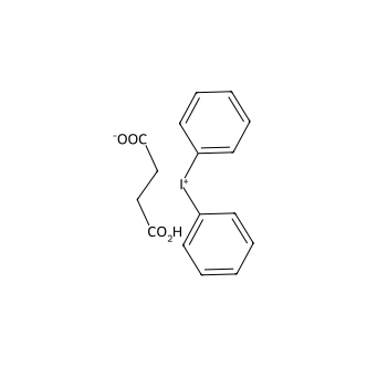 O=C([O-])CCC(=O)O.c1ccc([I+]c2ccccc2)cc1